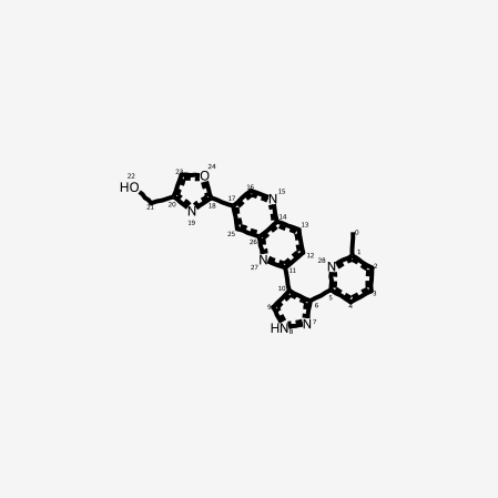 Cc1cccc(-c2n[nH]cc2-c2ccc3ncc(-c4nc(CO)co4)cc3n2)n1